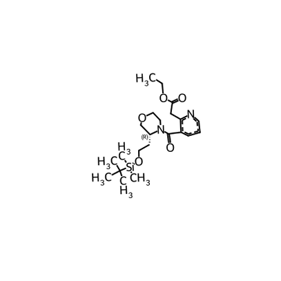 CCOC(=O)Cc1ncccc1C(=O)N1CCOC[C@H]1CCO[Si](C)(C)C(C)(C)C